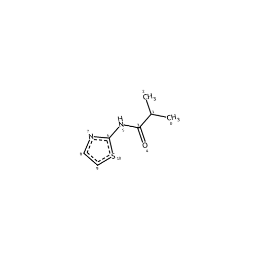 CC(C)C(=O)Nc1nccs1